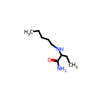 CCCCCNC(CC)C(N)=O